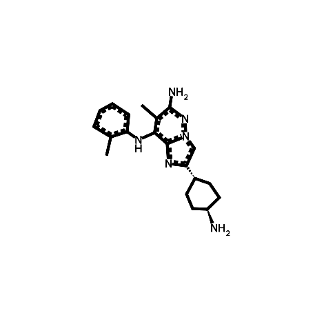 Cc1ccccc1Nc1c(C)c(N)nn2cc([C@H]3CC[C@H](N)CC3)nc12